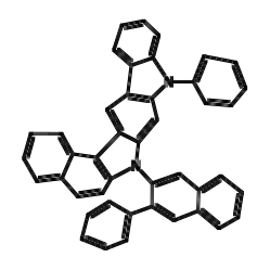 c1ccc(-c2cc3ccccc3cc2-n2c3cc4c(cc3c3c5ccccc5ccc32)c2ccccc2n4-c2ccccc2)cc1